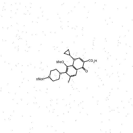 CCCCCCCCCN1CCN(c2c(F)cc3c(=O)c(C(=O)O)cn(C4CC4)c3c2OC)CC1